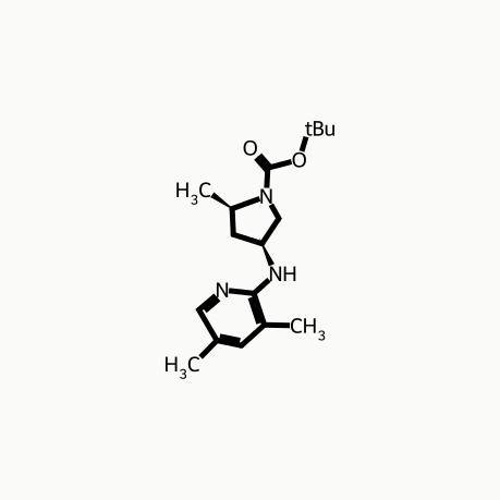 Cc1cnc(N[C@H]2C[C@@H](C)N(C(=O)OC(C)(C)C)C2)c(C)c1